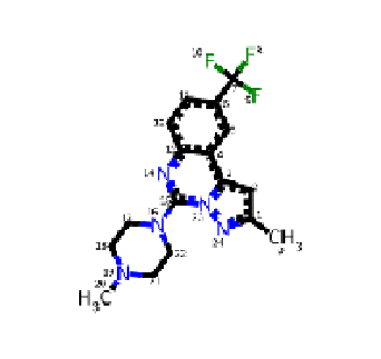 Cc1cc2c3cc(C(F)(F)F)ccc3nc(N3CCN(C)CC3)n2n1